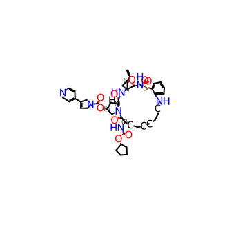 C=C[C@@H]1C[C@@]12NC(=O)[C@@H]1C[C@@H](OC(=O)N3CC=C(c4ccncc4)C3)CN1C(=O)[C@@H](NC(=O)OC1CCCC1)CCCCCCCNc1ccccc1S(=O)(=O)NC2=O